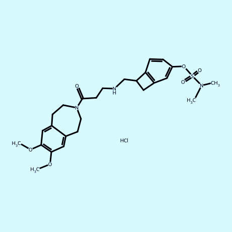 COc1cc2c(cc1OC)CCN(C(=O)CCNCC1Cc3cc(OS(=O)(=O)N(C)C)ccc31)CC2.Cl